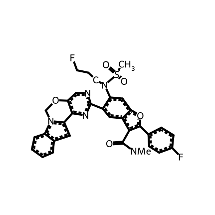 CNC(=O)c1c(-c2ccc(F)cc2)oc2cc(N(CCCF)S(C)(=O)=O)c(-c3ncc4c(n3)-c3cc5ccccc5n3CO4)cc12